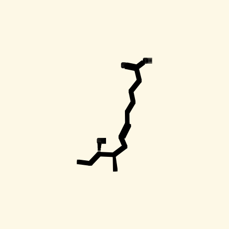 CC[C@H](O)[C@H](C)C/C=C/CCCCC(=O)O